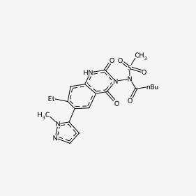 CCCCC(=O)N(n1c(=O)[nH]c2cc(CC)c(-c3ccnn3C)cc2c1=O)S(C)(=O)=O